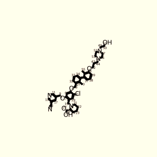 Cc1c(COc2cc(OCc3cncc(C#N)c3)c(CN3CCCC[C@H]3C(=O)O)cc2Cl)cccc1-c1cccc(OCCCN2CCN(CCO)CC2)c1C